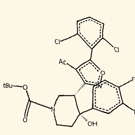 CC(=O)c1c([C@H]2CN(C(=O)OC(C)(C)C)CC[C@]2(O)c2ccc(F)c(F)c2)noc1-c1c(Cl)cccc1Cl